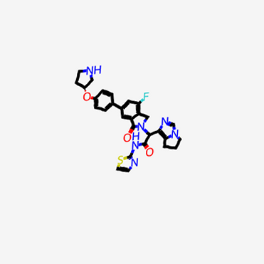 O=C(Nc1nccs1)C(c1ncn2c1CCC2)N1Cc2c(F)cc(-c3ccc(O[C@@H]4CCNC4)cc3)cc2C1=O